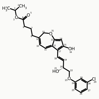 CC(C)OC(=O)CCCC1=CC=C2C(=CC(O)=C2/C=C/[C@@H](O)COc2cccc(Cl)c2)OC1